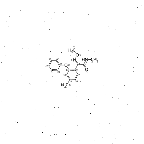 CNC(=O)/C(=N\OC)c1ccc(C)cc1Oc1ccccc1